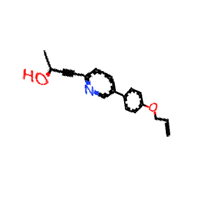 C=CCOc1ccc(-c2ccc(C#CC(C)O)nc2)cc1